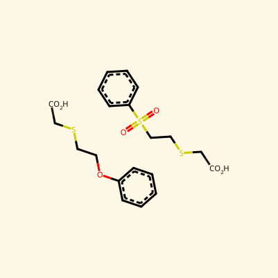 O=C(O)CSCCOc1ccccc1.O=C(O)CSCCS(=O)(=O)c1ccccc1